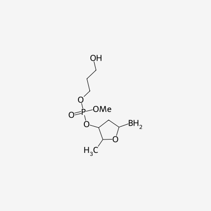 BC1CC(OP(=O)(OC)OCCCO)C(C)O1